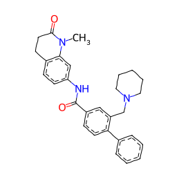 CN1C(=O)CCc2ccc(NC(=O)c3ccc(-c4ccccc4)c(CN4CCCCC4)c3)cc21